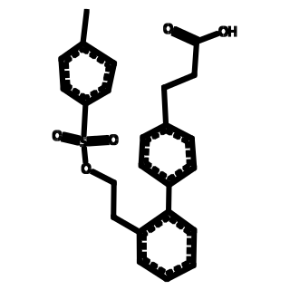 Cc1ccc(S(=O)(=O)OCCc2ccccc2-c2ccc(CCC(=O)O)cc2)cc1